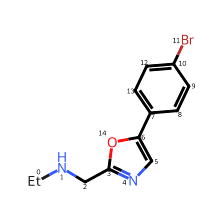 CCNCc1ncc(-c2ccc(Br)cc2)o1